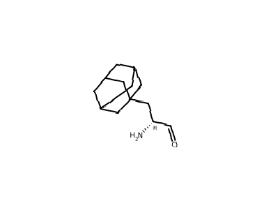 N[C@@H](C=O)CC12CC3CC(CC(C3)C1)C2